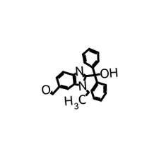 CCn1c(C(O)(c2ccccc2)c2ccccc2)nc2ccc(C=O)cc21